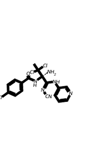 CC(Cl)(Cl)[C@](N)(NC(=O)c1ccc(Cl)cc1)C(=NC#N)Nc1cccnc1